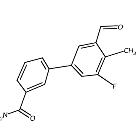 Cc1c(F)cc(-c2cccc(C(N)=O)c2)cc1C=O